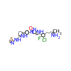 C[C@H](N)CCCc1cc(Cl)c(F)c(-c2cc3cn(-c4ccc([C@@H]5CCC[C@@H](CCNc6nccs6)N5)cc4)c(=O)nc3[nH]2)c1